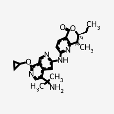 CC[C@@H]1OC(=O)c2ccc(Nc3cc4c(C(C)(C)N)cnc(OC5CC5)c4cn3)nc2[C@H]1C